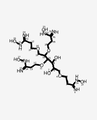 N=C(CCOCC(O)C(O)C(OCCC(=N)NO)C(COCCC(=N)NO)OCCC(=N)NO)NO